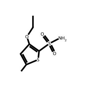 CCOc1cc(C)sc1S(N)(=O)=O